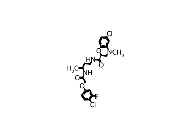 C=C(CCNC(=O)[C@@H]1CN(C)c2cc(Cl)ccc2O1)NC(=O)COc1ccc(Cl)c(F)c1